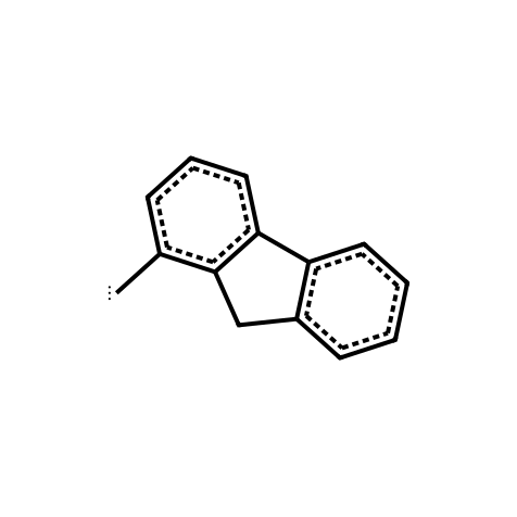 [C]c1cccc2c1Cc1ccccc1-2